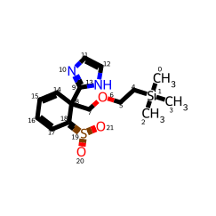 C[Si](C)(C)CCOCC1(c2ncc[nH]2)C=CC=CC1=S(=O)=O